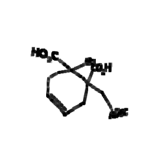 CCCCCCCCCCCC1(C(=O)O)CC=CCC1(C(=O)O)C(C)CC